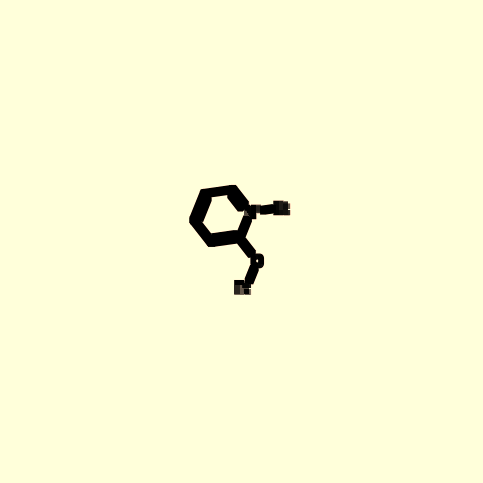 CCOc1cccc[n+]1CC